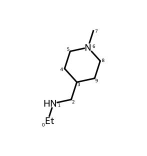 CCNCC1CCN(C)CC1